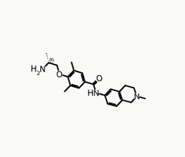 Cc1cc(C(=O)Nc2ccc3c(c2)CCN(C)C3)cc(C)c1OC[C@@H](C)N